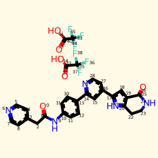 O=C(Cc1ccncc1)Nc1ccc(-c2cc(-c3cc4c([nH]3)CCNC4=O)ccn2)cc1.O=C(O)C(F)(F)F.O=C(O)C(F)(F)F